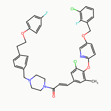 Cc1cc(/C=C/C(=O)N2CCN(Cc3ccc(CCOc4ccc(F)cc4)cc3)CC2)cc(Cl)c1Oc1ccc(OCc2cccc(Cl)c2F)cn1